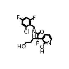 O=C(NCc1c(F)cc(F)cc1Cl)[C@](F)(CCCO)c1cccnc1O